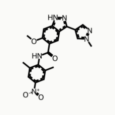 COc1cc2[nH]nc(-c3cnn(C)c3)c2cc1C(=O)Nc1c(C)cc([N+](=O)[O-])cc1C